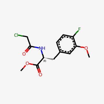 COC(=O)[C@@H](Cc1ccc(F)c(OC)c1)NC(=O)CCl